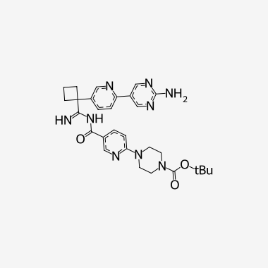 CC(C)(C)OC(=O)N1CCN(c2ccc(C(=O)NC(=N)C3(c4ccc(-c5cnc(N)nc5)nc4)CCC3)cn2)CC1